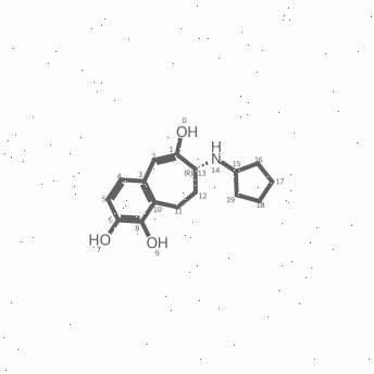 OC1=Cc2ccc(O)c(O)c2CC[C@H]1NC1CCCC1